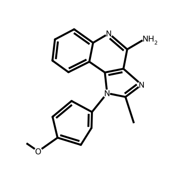 COc1ccc(-n2c(C)nc3c(N)nc4ccccc4c32)cc1